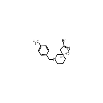 FC(F)(F)c1ccc(CN2CCC[C@]3(CC(Br)=NO3)C2)cc1